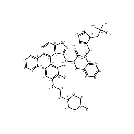 Cc1c(-c2c(-c3ccccn3)ncc3snc(OC(Cc4ccccc4OCc4ccnn4CC(F)(F)F)C(=O)O)c23)ccc(OCCN2CCN(C)CC2)c1Cl